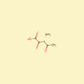 CC(=O)CC(=O)C(=O)O.[SnH2]